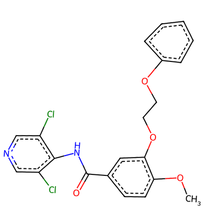 COc1ccc(C(=O)Nc2c(Cl)cncc2Cl)cc1OCCOc1ccccc1